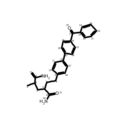 C=C(N)C(C)CC(CCc1ccc(-c2ccc(C(=O)c3ccccc3)cc2)cc1)C(N)=O